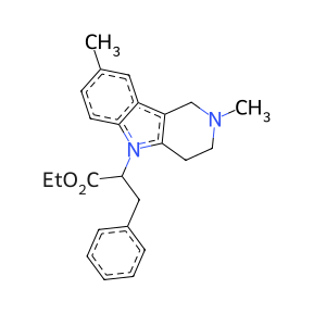 CCOC(=O)C(Cc1ccccc1)n1c2c(c3cc(C)ccc31)CN(C)CC2